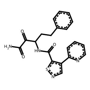 NC(=O)C(=O)C(CCc1ccccc1)NC(=O)c1sncc1-c1ccccn1